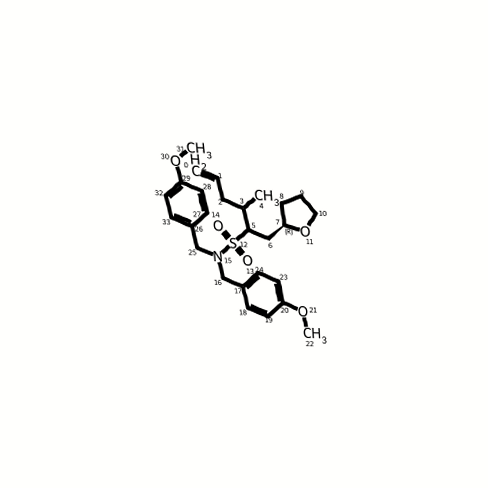 C=CCC(C)C(C[C@H]1CCCO1)S(=O)(=O)N(Cc1ccc(OC)cc1)Cc1ccc(OC)cc1